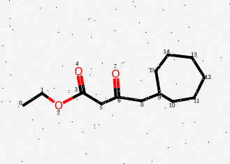 CCOC(=O)CC(=O)CC1CCCCCC1